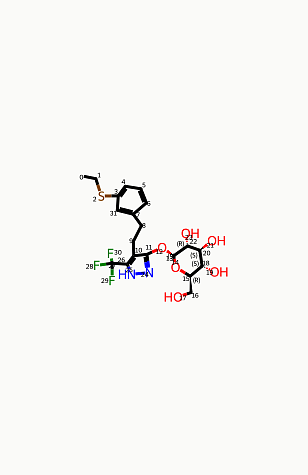 CCSc1cccc(CCc2c(O[C@@H]3O[C@H](CO)[C@@H](O)[C@H](O)[C@H]3O)n[nH]c2C(F)(F)F)c1